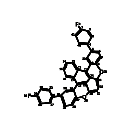 Fc1ccc(-c2ccc3c(c2)-c2c4ccccc4c4c5c(ccc(c25)O3)Oc2ccc(-c3ccc(F)cc3)cc2-4)cc1